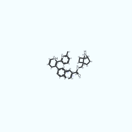 C=c1ccc(C2=C(c3cccc(C)n3)NC=CC2)c/c1=C/C(=C\C)C(=O)OCC12CCC3NC31CC2